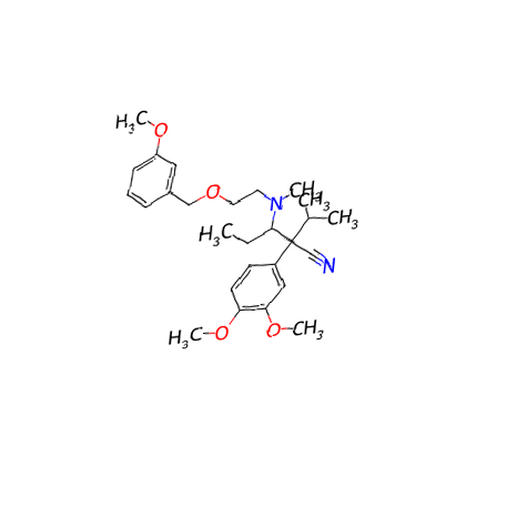 CCC(N(C)CCOCc1cccc(OC)c1)C(C#N)(c1ccc(OC)c(OC)c1)C(C)C